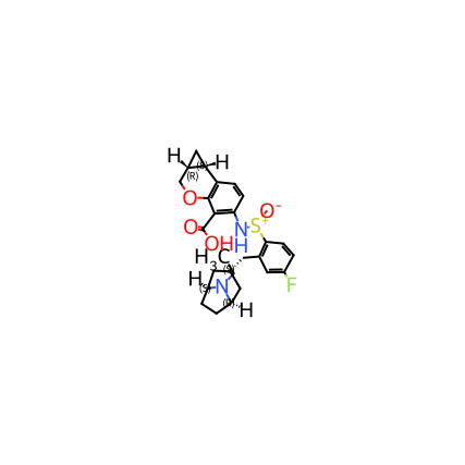 CCN1[C@@H]2CC[C@H]1C[C@H](Cc1cc(F)ccc1[S+]([O-])Nc1ccc3c(c1C(=O)O)OC[C@@H]1C[C@H]31)C2